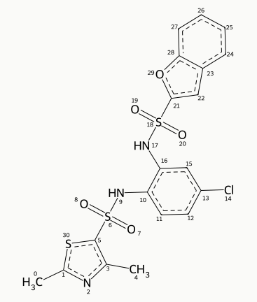 Cc1nc(C)c(S(=O)(=O)Nc2ccc(Cl)cc2NS(=O)(=O)c2cc3ccccc3o2)s1